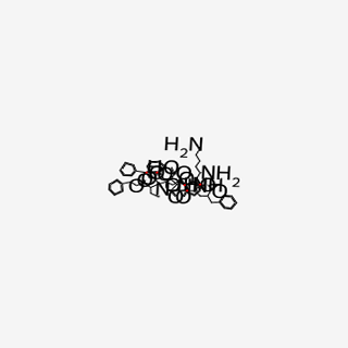 NCCCC[C@H](N)C(=O)N[C@@H](CC(Cc1ccccc1)C(=O)O)C(=O)N[C@H](C(=O)N1CCC(C(=O)OCc2ccccc2)C1(C(=O)OCc1ccccc1)C(=O)OCc1ccccc1)C(Cc1ccccc1)C(=O)O